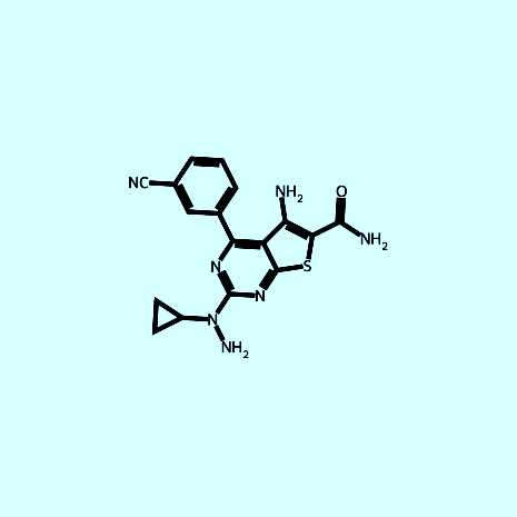 N#Cc1cccc(-c2nc(N(N)C3CC3)nc3sc(C(N)=O)c(N)c23)c1